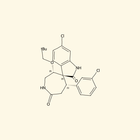 CC(C)(C)CO[C@H]1CNC(=O)C[C@@H](c2cccc(Cl)c2)[C@]12C(=O)Nc1cc(Cl)ccc12